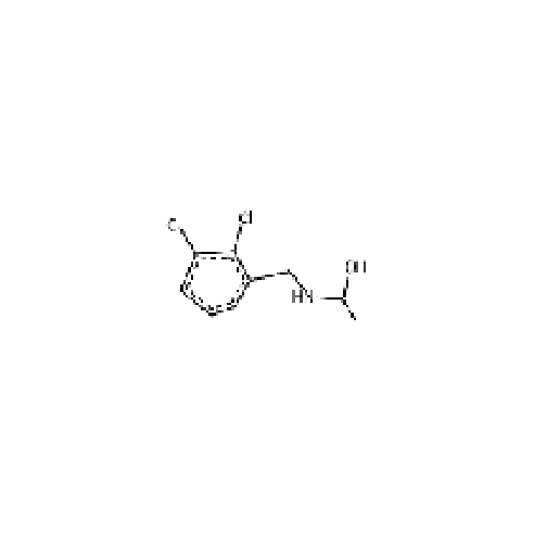 CC(O)NCc1cccc(Cl)c1Cl